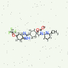 Cc1cccc(N2CC3(CCC(c4nc5cc(OC(F)(F)F)ccc5[nH]4)CC3)OC2=O)n1